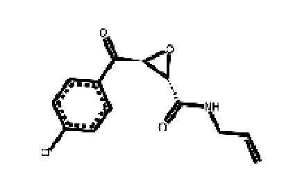 C=CCNC(=O)[C@H]1O[C@@H]1C(=O)c1ccc(Cl)cc1